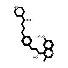 COc1ccc2ncc(C)c([C@H](O)CCc3ccc(CCC[C@H](O)C4CCNCC4)cc3)c2c1